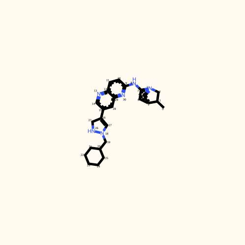 CC1Cn2cc1cc2Nc1ccc2ncc(C3=CN(CC4CCCCC4)NC3)cc2n1